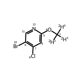 [2H]C([2H])([2H])Oc1cc(Cl)c(Br)cn1